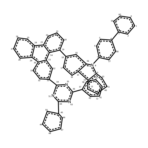 c1ccc(-c2ccc(-n3c4ccccc4c4ccc(-c5cccc6c7ccccc7c7ccc(-c8nc(-c9ccccc9)nc(-c9ccccc9)n8)cc7c56)cc43)cc2)cc1